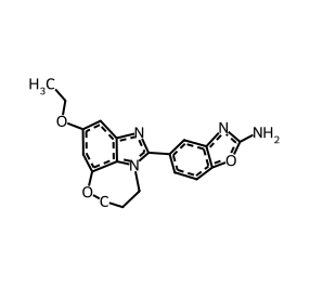 CCOc1cc2c3c(c1)nc(-c1ccc4oc(N)nc4c1)n3CCCO2